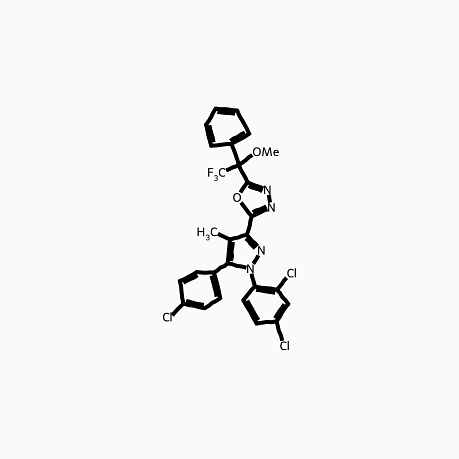 COC(c1ccccc1)(c1nnc(-c2nn(-c3ccc(Cl)cc3Cl)c(-c3ccc(Cl)cc3)c2C)o1)C(F)(F)F